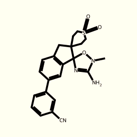 CN1OC2(N=C1N)c1cc(-c3cccc(C#N)c3)ccc1CC21CCS(=O)(=O)CC1